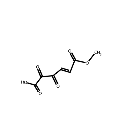 COC(=O)/C=C/C(=O)C(=O)C(=O)O